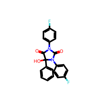 O=C1N(c2ccc(F)cc2)C(=O)C(O)(c2ccccc2)N1c1ccc(F)cc1